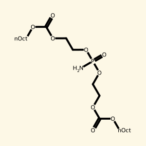 CCCCCCCCOC(=O)OCCOP(N)(=O)OCCOC(=O)OCCCCCCCC